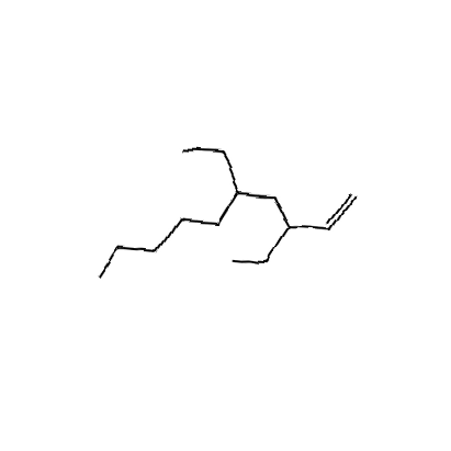 C=CC(CC)CC(CC)CCCCC